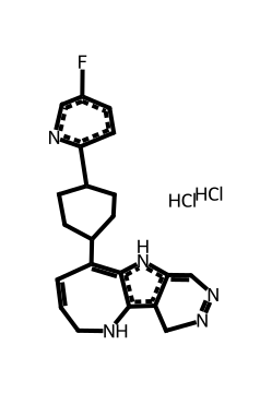 Cl.Cl.Fc1ccc(C2CCC(C3=c4[nH]c5c(c4NCC=C3)CN=NC=5)CC2)nc1